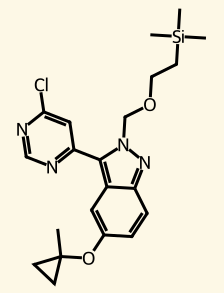 CC1(Oc2ccc3nn(COCC[Si](C)(C)C)c(-c4cc(Cl)ncn4)c3c2)CC1